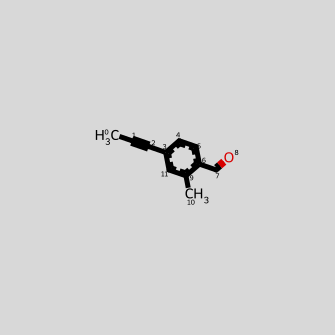 CC#Cc1ccc(C=O)c(C)c1